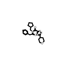 O=c1c2nnc(C3CCOCC3)n2cc(Cc2ccccc2)n1CC1CCCC1